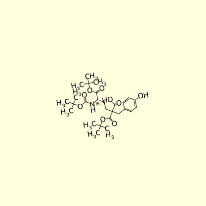 CC(C)(C)OC(=O)N[C@H](CCC(Cc1ccc(O)cc1)(C(=O)O)C(=O)OC(C)(C)C)C(=O)OC(C)(C)C